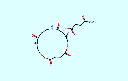 COC(=O)CCC(=O)O[C@H]1C(=O)NCCC(=O)NCCSC(=O)/C=C/C(=O)OCC1(C)C